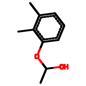 Cc1cccc(OC(C)O)c1C